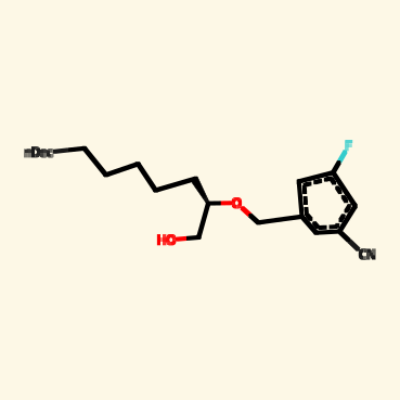 CCCCCCCCCCCCCCC[C@H](CO)OCc1cc(F)cc(C#N)c1